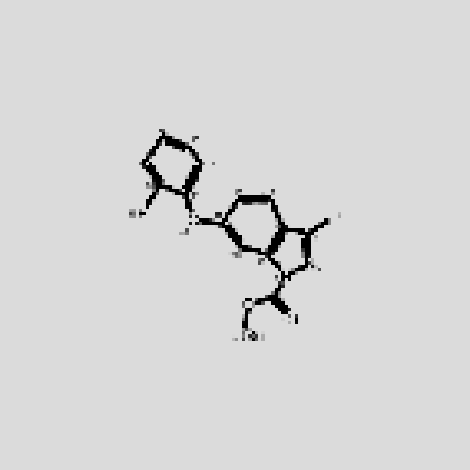 CC(C)(C)OC(=O)n1nc(I)c2ccc(Oc3ccccc3F)cc21